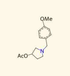 COc1ccc(CN2CCC(OC(C)=O)C2)cc1